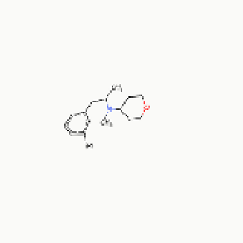 CC(C)c1cccc(CC(C)N(C)C2CCOCC2)c1